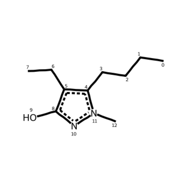 CCCCc1c(CC)c(O)nn1C